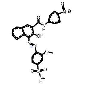 CNS(=O)(=O)c1ccc(/N=N/c2c(O)c(C(=O)Nc3ccc([N+](=O)[O-])cc3)cc3ccccc23)c(OC)c1